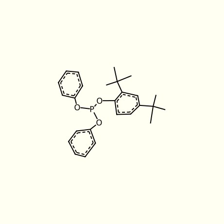 CC(C)(C)c1ccc(OP(Oc2ccccc2)Oc2ccccc2)c(C(C)(C)C)c1